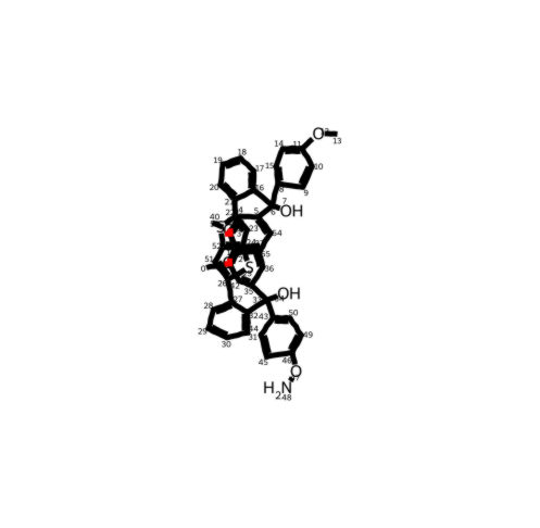 COc1ccc(C(O)(c2ccc(OC)cc2)c2ccccc2-c2cc3sc(-c4ccccc4C(O)(c4ccc(OC)cc4)c4ccc(ON)cc4)cc3s2)cc1